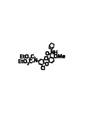 CCOC(=O)CN(CC(=O)OCC)c1cc(Cl)c(Oc2ccc(OC)c(C(=O)NC3CC4CCC3C4)c2)c(Cl)c1